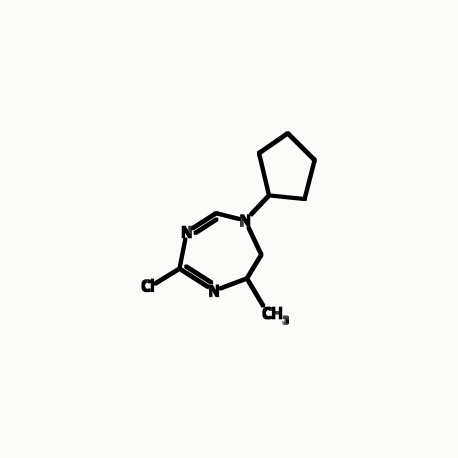 CC1CN(C2CCCC2)C=NC(Cl)=N1